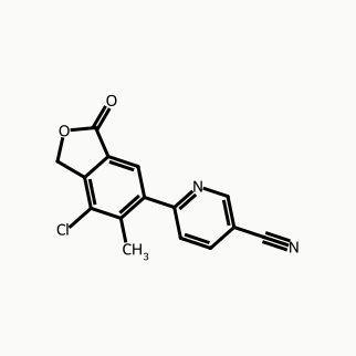 Cc1c(-c2ccc(C#N)cn2)cc2c(c1Cl)COC2=O